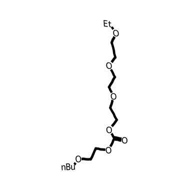 CCCCOCCOC(=O)OCCOCCOCCOCC